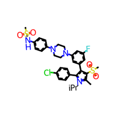 Cc1c(S(C)(=O)=O)c(-c2cc(F)cc(N3CCN(c4ccc(NS(C)(=O)=O)cc4)CC3)c2)c(-c2ccc(Cl)cc2)n1C(C)C